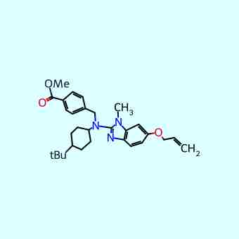 C=CCOc1ccc2nc(N(Cc3ccc(C(=O)OC)cc3)C3CCC(C(C)(C)C)CC3)n(C)c2c1